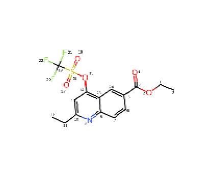 CCOC(=O)c1ccc2nc(CC)cc(OS(=O)(=O)C(F)(F)F)c2c1